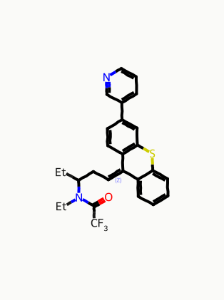 CCC(C/C=C1/c2ccccc2Sc2cc(-c3cccnc3)ccc21)N(CC)C(=O)C(F)(F)F